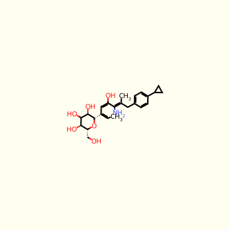 C\C=C(/C=C(O)\C(N)=C(/C)Cc1ccc(C2CC2)cc1)[C@@H]1O[C@H](CO)[C@@H](O)C(O)[C@H]1O